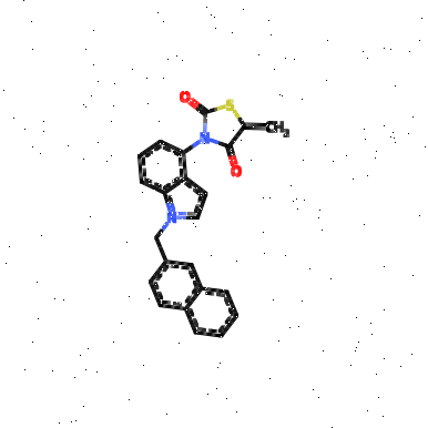 C=C1SC(=O)N(c2cccc3c2ccn3Cc2ccc3ccccc3c2)C1=O